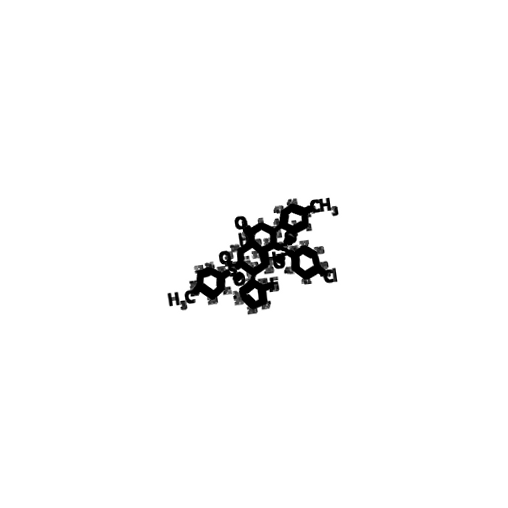 Cc1ccc([C@@H]2CC(=O)[C@@H]3CC(S(=O)(=O)c4ccc(C)cc4)[C@H](c4ccccc4F)C[C@@H]3C2S(=O)(=O)c2ccc(Cl)cc2)cc1